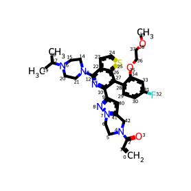 C=CC(=O)N1CCn2nc(-c3nc(N4CCN(C(C)C)CC4)c4ccsc4c3-c3ccc(F)cc3OCCOC)cc2C1